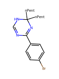 CCCCCC1(CCCCC)N=C(c2ccc(Br)cc2)N=CN1